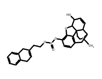 CN1CCC23c4c5ccc(OS(=O)OCCC6=CCc7ccccc7C6)c4OC2C(O)C=CC3C1C5